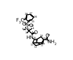 CN(C(C)(C)C(=O)NC1C2CC3CC1CC(C(N)=O)(C3)C2)S(=O)(=O)c1ccccc1C(F)(F)F